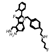 Cc1ccccc1-c1c(F)c2c(C=N)c(N)ccc2n1Cc1ccc(CCNCCCF)cc1